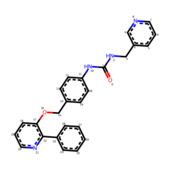 O=C(NCc1cccnc1)Nc1ccc(COc2cccnc2-c2ccccc2)cc1